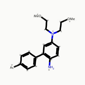 COCCN(CCOC)c1ccc(N)c(-c2ccc(C(C)=O)cc2)c1